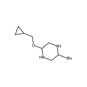 CC(C)(C)C1CNC(OCC2CC2)CN1